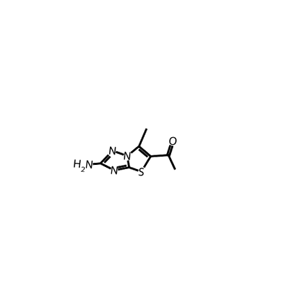 CC(=O)c1sc2nc(N)nn2c1C